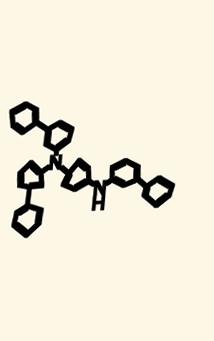 c1ccc(-c2cccc(Nc3ccc(N(c4cccc(-c5ccccc5)c4)c4cccc(-c5ccccc5)c4)cc3)c2)cc1